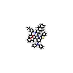 CC(C)(C)c1ccc(N2c3cc4c(cc3B3c5c2cc2c(c5-c5cc(N(c6ccccc6)c6ccccc6)cc6c7sc8ccccc8c7n3c56)C(C)(C)c3ccccc3-2)C(C)(C)c2ccccc2C4(C)C)c(-c2ccccc2)c1